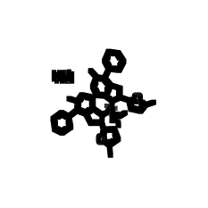 Cc1ccc(C2=Cc3c(ccc(C)c3-c3ccccc3)[CH]2[Zr]([CH]2C(c3ccc(C)o3)=Cc3c2ccc(C)c3-c2ccccc2)=[Si](C)C)o1.Cl.Cl